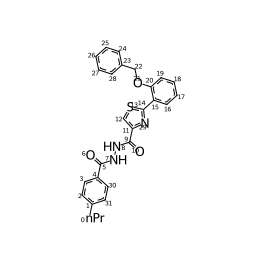 CCCc1ccc(C(=O)NNC(=O)c2csc(-c3ccccc3OCc3ccccc3)n2)cc1